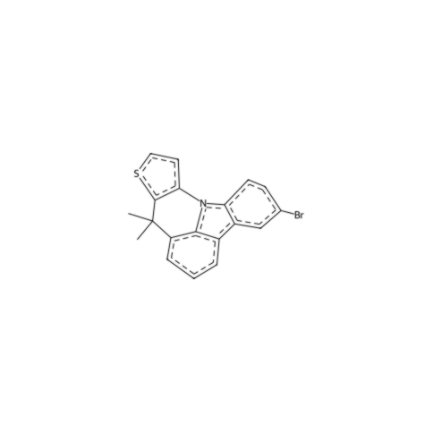 CC1(C)c2sccc2-n2c3ccc(Br)cc3c3cccc1c32